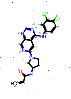 C=CC(=O)NC1CCN(c2cc3c(Nc4ccc(Cl)c(Cl)c4F)ncnc3cn2)C1